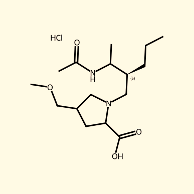 CCC[C@@H](CN1CC(COC)CC1C(=O)O)C(C)NC(C)=O.Cl